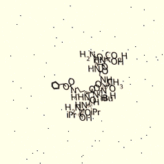 CC[C@H](C)C(NC(=O)[C@@H](CCCNC(=O)OCc1ccccc1)NC(=O)[C@H](CC(C)C)NC(=O)[C@@H](N)[C@H](O)C(C)C)C(=O)N[C@H](C(=O)NCC(=O)N[C@@H](CC(N)=O)C(=O)N[C@@H](CO)C(=O)O)[C@H](C)O